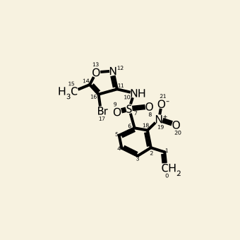 C=Cc1cccc(S(=O)(=O)Nc2noc(C)c2Br)c1[N+](=O)[O-]